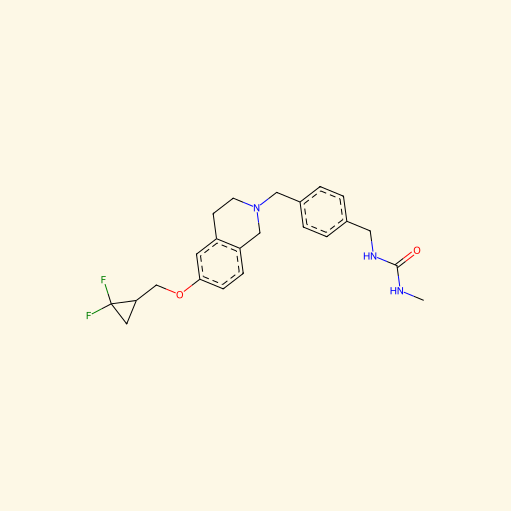 CNC(=O)NCc1ccc(CN2CCc3cc(OCC4CC4(F)F)ccc3C2)cc1